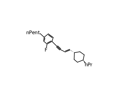 CCCCCc1ccc(C#C/C=C/[C@H]2CC[C@H](CCC)CC2)c(F)c1